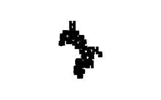 Cc1ccc(NC(=O)c2cccs2)cc1CCN1CCC(c2c[nH]c3ccc(F)cc23)CC1